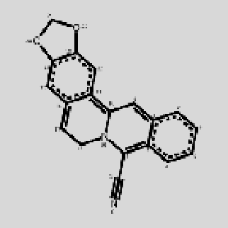 N#CC1=c2ccccc2=CC2=c3cc4c(cc3=CCN12)OCO4